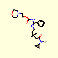 CC(C)(CCN=C(NC(=O)OCCN1CCOCC1)c1ccccc1)CC(=O)N(C#N)C1CC1